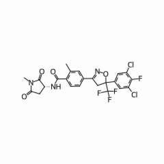 Cc1cc(C2=NOC(c3cc(Cl)c(F)c(Cl)c3)(C(F)(F)F)C2)ccc1C(=O)N[C@@H]1CC(=O)N(C)C1=O